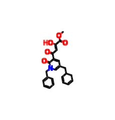 COC(=O)/C(O)=C/C(=O)c1cc(CC2C=CC=CC2)cn(Cc2ccccc2)c1=O